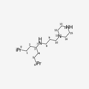 CC(C)CCC(CCC(C)C)NCCCN1CCNCC1